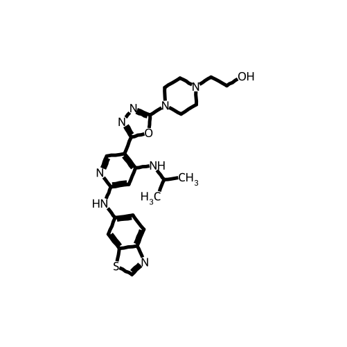 CC(C)Nc1cc(Nc2ccc3ncsc3c2)ncc1-c1nnc(N2CCN(CCO)CC2)o1